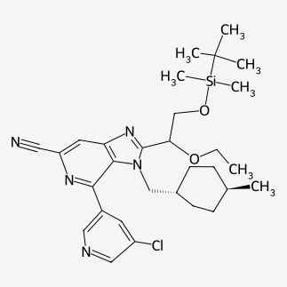 CCOC(CO[Si](C)(C)C(C)(C)C)c1nc2cc(C#N)nc(-c3cncc(Cl)c3)c2n1C[C@H]1CC[C@H](C)CC1